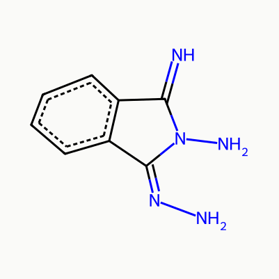 N=C1c2ccccc2C(=NN)N1N